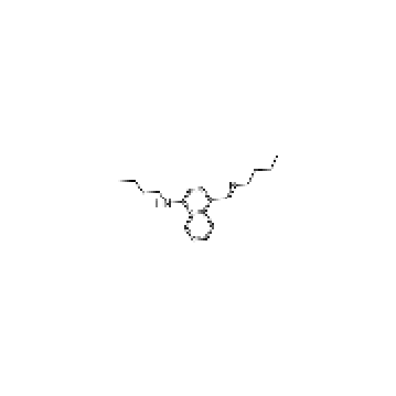 CCCCN=Cc1ccc(NCCCC)c2ccccc12